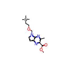 COC(=O)c1nc2ccn(COCC[Si](C)(C)C)c2nc1C